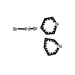 [Br][Pd][Br].c1ccncc1.c1ccncc1